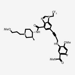 CNC(=O)c1cc(NCC#Cc2cc(C(=O)N[C@H]3CCN(CCCOC)C[C@@H]3C)c3ncn(CC(F)(F)F)c3c2)c(OC)cc1F